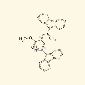 C=C(/C=C(\C=C(/N)n1c2ccccc2c2ccccc21)C(=O)OC)n1c2ccccc2c2ccccc21